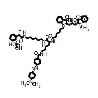 CN(C)c1ccc(/N=N/c2ccc(C(=O)NCCCCC(NC(=O)CCCCC[N+]3=C(/C=C/C=C4/N(C)c5ccccc5C4(C)C)C(C)(C)c4ccccc43)C(=O)NCCCCCCNC(=O)C(F)c3ccccc3OP(=O)(O)O)cc2)cc1